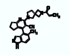 C=CC(=O)N1CC2(CCN(c3nc4c(c(-c5c(C)ccc6[nH]ncc56)c3C#N)CCC4)C2)C1